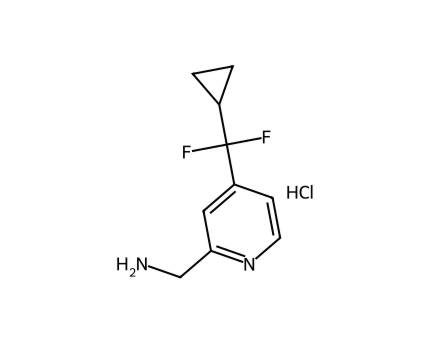 Cl.NCc1cc(C(F)(F)C2CC2)ccn1